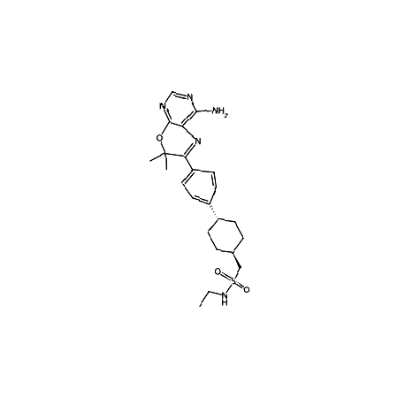 CCNS(=O)(=O)C[C@H]1CC[C@H](c2ccc(C3=Nc4c(N)ncnc4OC3(C)C)cc2)CC1